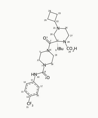 CC(C)(C)[C@]1(C(=O)N2CCN(C(=O)Nc3ccc(C(F)(F)F)cc3)CC2)CN(C2CCC2)CCN1C(=O)O